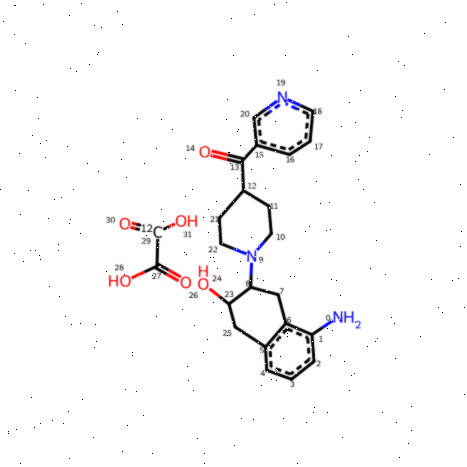 Nc1cccc2c1CC(N1CCC(C(=O)c3cccnc3)CC1)C(O)C2.O=C(O)[12C](=O)O